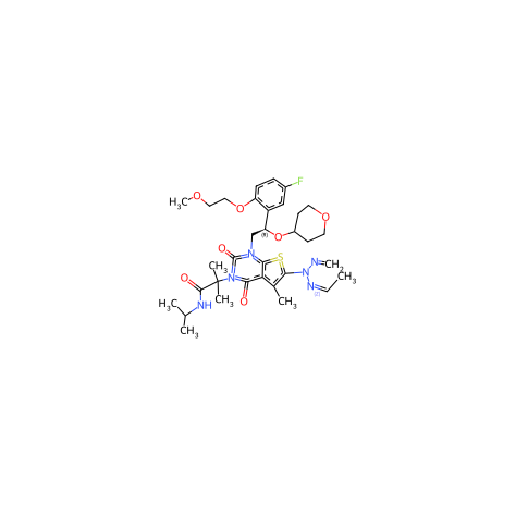 C=NN(/N=C\C)c1sc2c(c1C)c(=O)n(C(C)(C)C(=O)NC(C)C)c(=O)n2C[C@H](OC1CCOCC1)c1cc(F)ccc1OCCOC